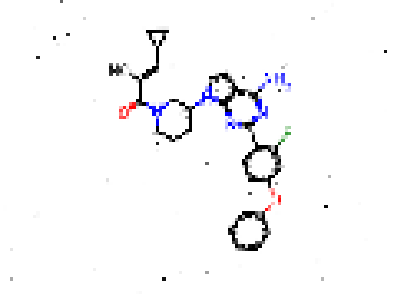 N#CC(=CC1CC1)C(=O)N1CCC[C@H](n2ccc3c(N)nc(-c4ccc(Oc5ccccc5)cc4F)nc32)C1